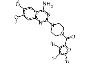 [2H]c1oc(C(=O)N2CCN(c3nc(N)c4cc(OC)c(OC)cc4n3)CC2)c([2H])c1[2H]